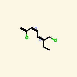 C=C(Cl)/C=C\C=C(\CC)CCl